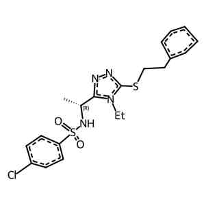 CCn1c(SCCc2ccccc2)nnc1[C@@H](C)NS(=O)(=O)c1ccc(Cl)cc1